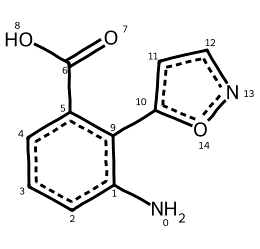 Nc1cccc(C(=O)O)c1-c1ccno1